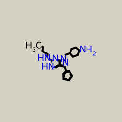 CCCCNC1N=c2c(c(-c3ccccc3)nn2CC2CCC(N)CC2)=CN1